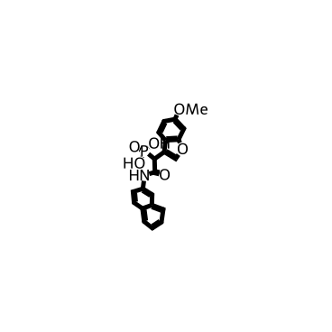 COc1ccc2c(C(C(=O)Nc3ccc4ccccc4c3)P(=O)(O)O)coc2c1